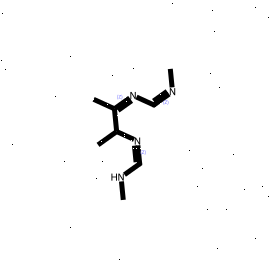 C/N=C\N=C(\C)C(C)/N=C\NC